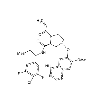 C=CC(=O)N1CC[C@H](Oc2cc3c(Nc4ccc(F)c(Cl)c4F)ncnc3cc2OC)C[C@H]1C(=O)NCCSC